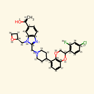 C=C(O)c1ccc2nc(CN3CCC(c4cccc5c4OCC(c4ccc(Cl)cc4F)O5)CC3)n(C[C@@H]3CCO3)c2c1